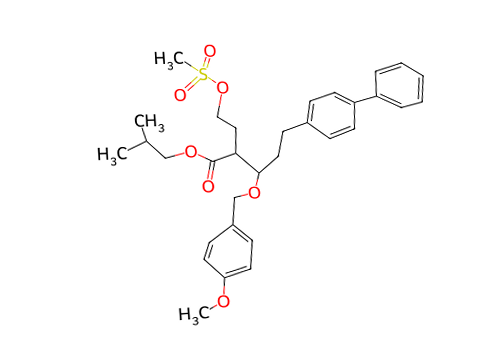 COc1ccc(COC(CCc2ccc(-c3ccccc3)cc2)C(CCOS(C)(=O)=O)C(=O)OCC(C)C)cc1